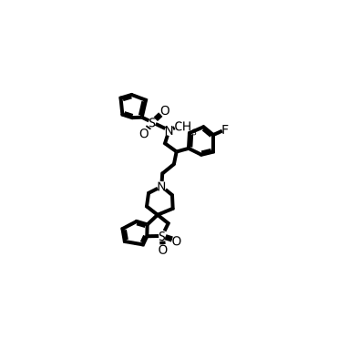 CN(CC(CCN1CCC2(CC1)CS(=O)(=O)c1ccccc12)c1ccc(F)cc1)S(=O)(=O)c1ccccc1